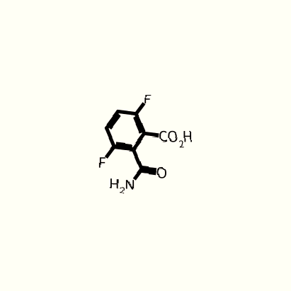 NC(=O)c1c(F)ccc(F)c1C(=O)O